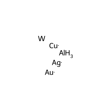 [Ag].[AlH3].[Au].[Cu].[W]